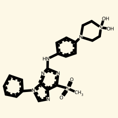 CS(=O)(=O)c1nc(Nc2ccc(N3CCS(O)(O)CC3)cc2)nc2c1ncn2-c1ccccc1